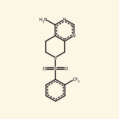 Nc1ncnc2c1CCN(S(=O)(=O)c1ccccc1C(F)(F)F)C2